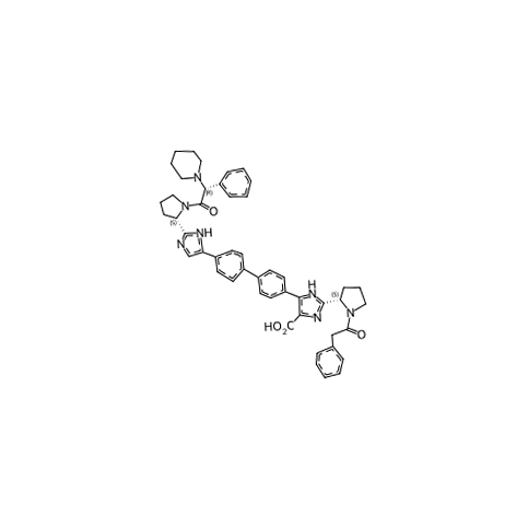 O=C(O)c1nc([C@@H]2CCCN2C(=O)Cc2ccccc2)[nH]c1-c1ccc(-c2ccc(-c3cnc([C@@H]4CCCN4C(=O)[C@@H](c4ccccc4)N4CCCCC4)[nH]3)cc2)cc1